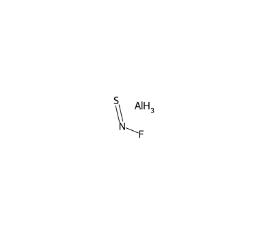 FN=S.[AlH3]